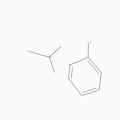 C[C](C)C.[CH2]c1ccccc1